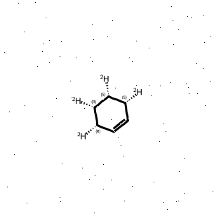 [2H][C@@H]1[C@H]([2H])[C@H]([2H])C=C[C@@H]1[2H]